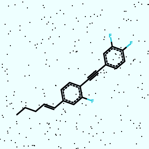 CCCC=Cc1ccc(C#Cc2ccc(F)c(F)c2)c(F)c1